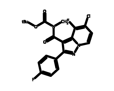 CN(C(=O)OC(C)(C)C)C(=O)c1c(-c2ccc(F)cc2)nn2ccc(Cl)c(F)c12